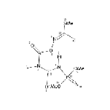 CCN([S+]([O-])N(C)C(=O)ON=C(C)SC)P(=S)(OC)OC